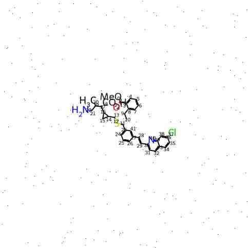 COC(=O)c1ccccc1CC[C@@H](SCC1CC1C(C(=O)O)C(C)CN)c1cccc(C=Cc2ccc3ccc(Cl)cc3n2)c1